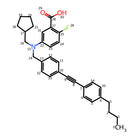 CCCCc1ccc(C#Cc2ccc(CN(CC3CCCC3)c3ccc(F)c(C(=O)O)c3)cc2)cc1